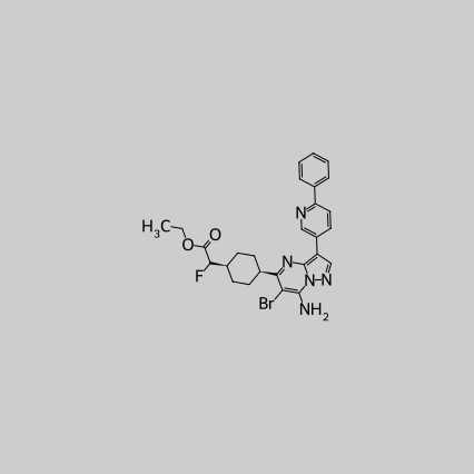 CCOC(=O)C(F)[C@H]1CC[C@@H](c2nc3c(-c4ccc(-c5ccccc5)nc4)cnn3c(N)c2Br)CC1